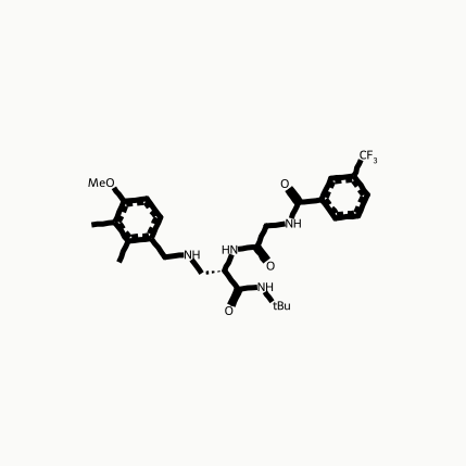 COc1ccc(CNC[C@H](NC(=O)CNC(=O)c2cccc(C(F)(F)F)c2)C(=O)NC(C)(C)C)c(C)c1C